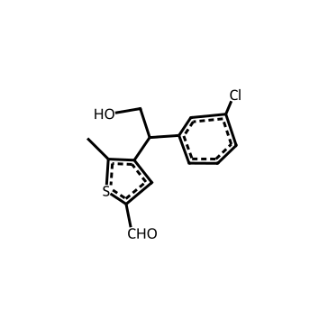 Cc1sc(C=O)cc1C(CO)c1cccc(Cl)c1